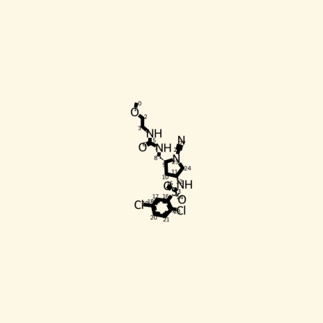 COCCNC(=O)NC[C@H]1C[C@@H](NS(=O)(=O)c2cc(Cl)ccc2Cl)CN1C#N